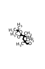 CC(C)(C=O)CC(C)(P)C(=O)OC(C)(C)C